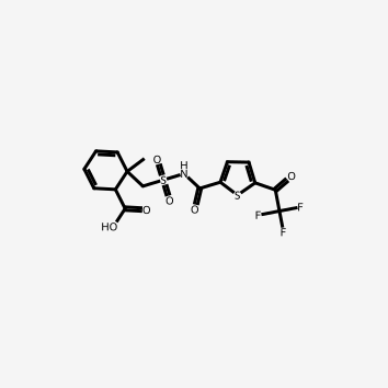 CC1(CS(=O)(=O)NC(=O)c2ccc(C(=O)C(F)(F)F)s2)C=CC=CC1C(=O)O